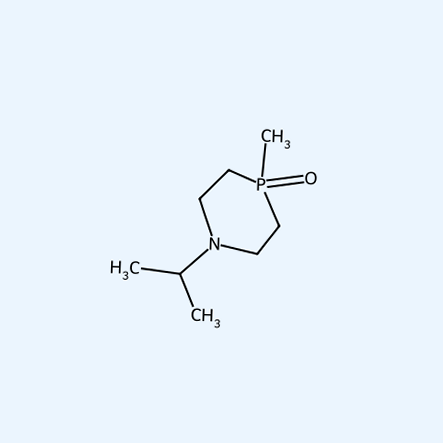 CC(C)N1CCP(C)(=O)CC1